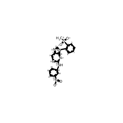 CS(=O)(=O)c1ccccc1-n1cnc2cnc(Nc3cccc([N+](=O)[O-])c3)nc21